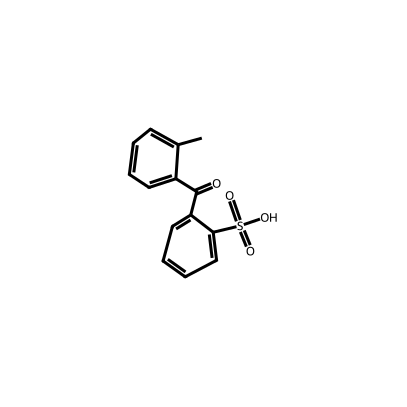 Cc1ccccc1C(=O)c1ccccc1S(=O)(=O)O